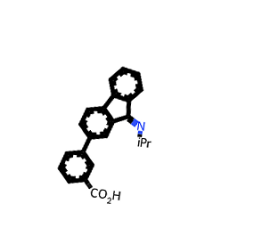 CC(C)N=C1c2ccccc2-c2ccc(-c3cccc(C(=O)O)c3)cc21